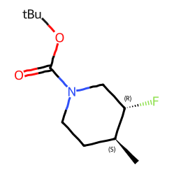 C[C@H]1CCN(C(=O)OC(C)(C)C)C[C@@H]1F